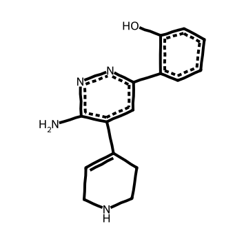 Nc1nnc(-c2ccccc2O)cc1C1=CCNCC1